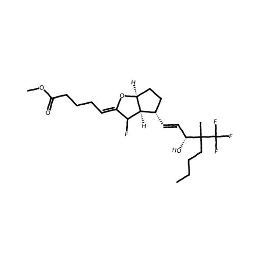 CCCCC(C)([C@H](O)/C=C/[C@H]1CC[C@@H]2O/C(=C\CCCC(=O)OC)C(F)[C@@H]21)C(F)(F)F